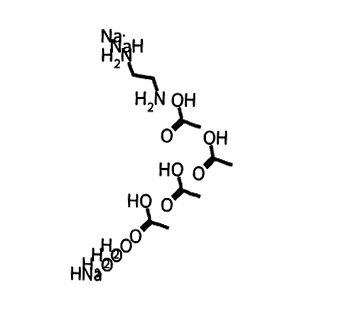 CC(=O)O.CC(=O)O.CC(=O)O.CC(=O)O.NCCN.O.O.O.[NaH].[NaH].[Na]